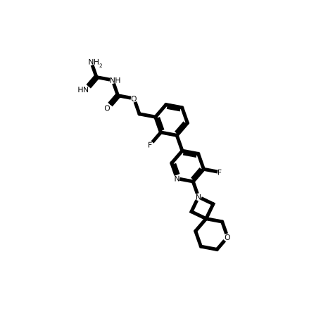 N=C(N)NC(=O)OCc1cccc(-c2cnc(N3CC4(CCCOC4)C3)c(F)c2)c1F